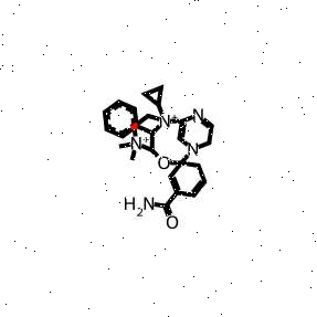 C[N+]1(C)CC[N+]2(C3CC3)C3=CN(CC=N3)C3(C=C(C(N)=O)C=CC3)OC1C2c1ccccc1